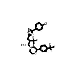 Cl.FC(F)(F)c1ccc(C2CN(CC(Cc3nnc(-c4ccc(Cl)cc4)o3)C(F)(F)F)CCO2)cc1